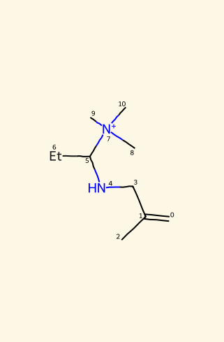 C=C(C)CNC(CC)[N+](C)(C)C